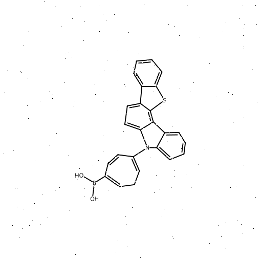 OB(O)C1=CCC=C(n2c3ccccc3c3c4sc5ccccc5c4ccc32)C=C1